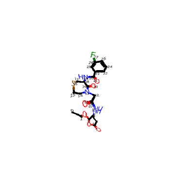 CCOC1OC(=O)CC1NC(=O)CN1CCSCC(NC(=O)c2cccc(F)c2)C1=O